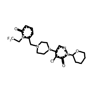 O=c1c(Cl)c(N2CCN(Cc3cccc(=O)n3CC(F)(F)F)CC2)cnn1C1CCCCO1